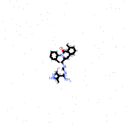 Cc1ccccc1-n1c(C/N=C/N=C(/N)c2c(I)n[nH]c2C)cc2cccc(C)c2c1=O